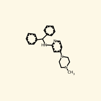 CN1CCN(c2ccnc(NC(c3ccccc3)c3ccccc3)c2)CC1